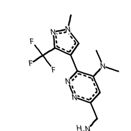 CN(C)c1cc(CN)nnc1-c1cn(C)nc1C(F)(F)F